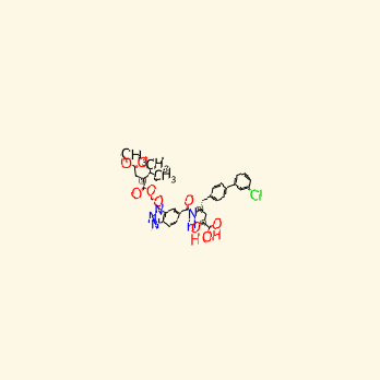 COC(=O)C[C@H](C(=O)OCOn1nnc2ccc(C(=O)N[C@H](Cc3ccc(-c4cccc(Cl)c4)cc3)C[C@@H](O)C(=O)O)cc21)C(C)C